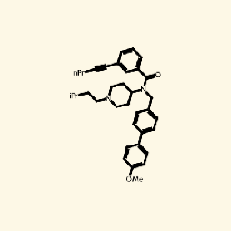 CCCC#Cc1cccc(C(=O)N(Cc2ccc(-c3ccc(OC)cc3)cc2)C2CCN(CCC(C)C)CC2)c1